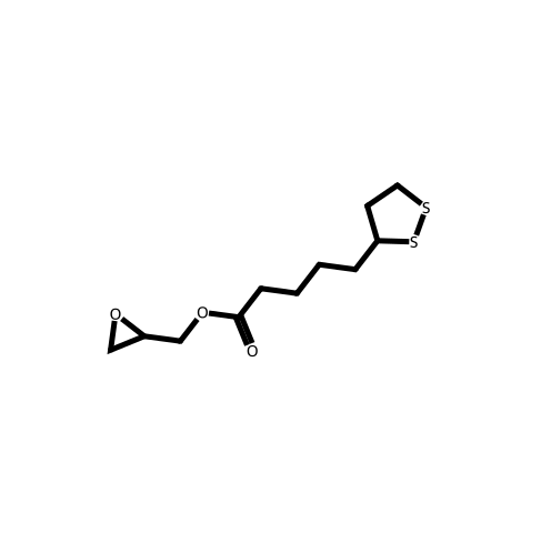 O=C(CCCCC1CCSS1)OCC1CO1